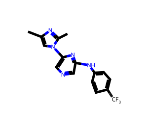 Cc1cn(-c2cncc(Nc3ccc(C(F)(F)F)cc3)n2)c(C)n1